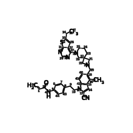 C=CC(=O)Nc1ccc(CCn2c(C#N)cc3c(C)c(CN4CC5(CCCN(c6ncnc7sc(CC(F)(F)F)cc67)C5)C4)ccc32)cc1